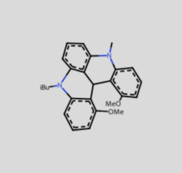 CCC(C)N1c2cccc(OC)c2C2c3c(OC)cccc3N(C)c3cccc1c32